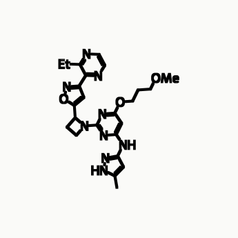 CCc1nccnc1-c1cc(C2CCN2c2nc(Nc3cc(C)[nH]n3)cc(OCCCOC)n2)on1